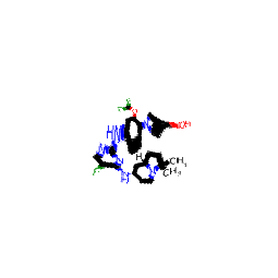 CC1(C)CC[C@H]2C[C@@H](Nc3nc(Nc4ccc(N5CC(O)C5)c(OC(F)F)c4)ncc3F)CCN21